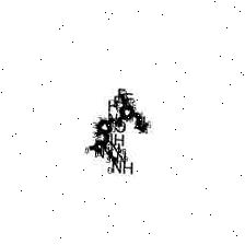 CNc1cc(-n2nc(C)cc2Nc2cc(NC(=O)c3cc(CN4CCC4)cc(C(F)(F)F)c3)ccc2C)ncn1